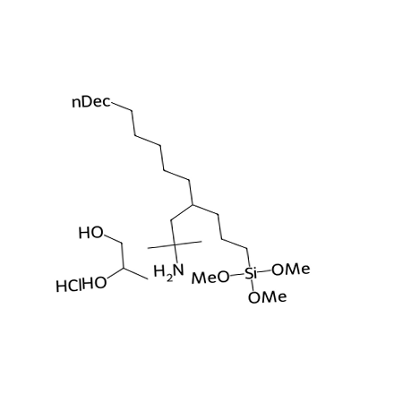 CC(O)CO.CCCCCCCCCCCCCCCC(CCC[Si](OC)(OC)OC)CC(C)(C)N.Cl